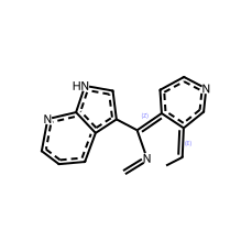 C=N/C(c1c[nH]c2ncccc12)=c1/ccnc/c1=C/C